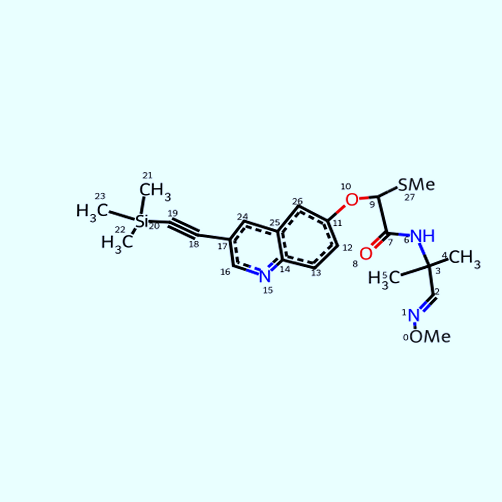 CON=CC(C)(C)NC(=O)C(Oc1ccc2ncc(C#C[Si](C)(C)C)cc2c1)SC